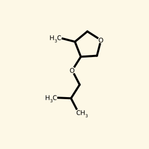 CC(C)COC1COCC1C